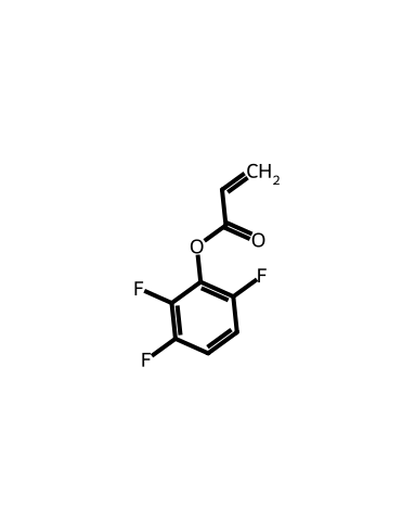 C=CC(=O)Oc1c(F)ccc(F)c1F